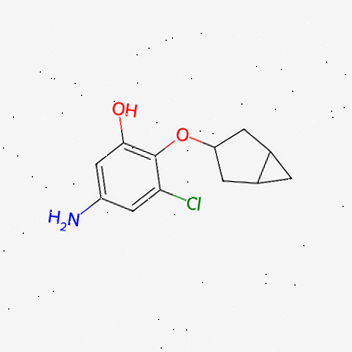 Nc1cc(O)c(OC2CC3CC3C2)c(Cl)c1